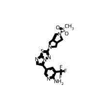 CS(=O)(=O)N1C=C2CN(c3nn4c(-c5cnc(N)c(C(F)(F)F)c5)cnc4s3)CC2C1